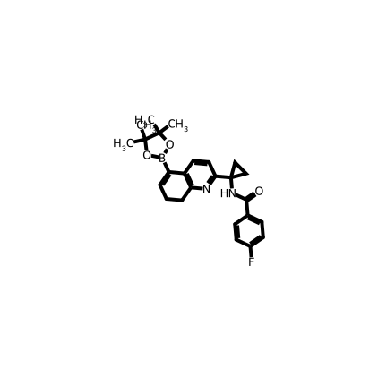 CC1(C)OB(C2=CCCc3nc(C4(NC(=O)c5ccc(F)cc5)CC4)ccc32)OC1(C)C